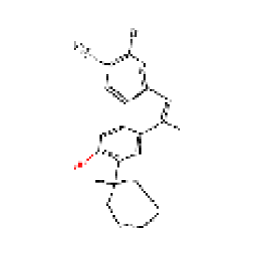 CCc1cc(C=C(C)c2ccc(O)c(C3(C)CCCCC3)c2)ccc1C(=O)O